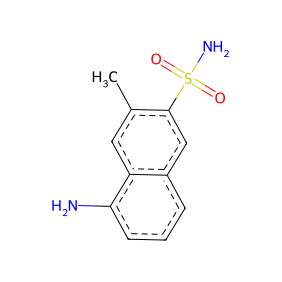 Cc1cc2c(N)cccc2cc1S(N)(=O)=O